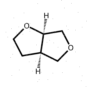 C1C[C@@H]2COC[C@@H]2O1